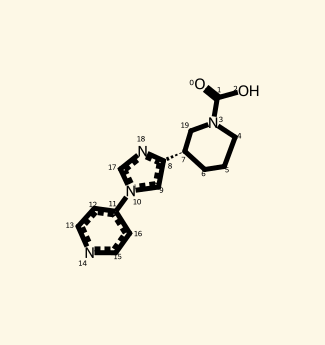 O=C(O)N1CCC[C@H](c2cn(-c3ccncc3)cn2)C1